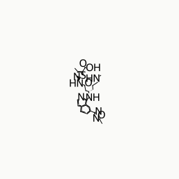 CNCCC[C@@H](CC(=O)Nc1nc(C)c(C(=O)O)s1)Nc1nccc2ccc(-c3noc(C)n3)cc12